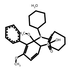 COC1=C(c2ccccc2)C(OC)(P(C2CCCCC2)C2CCCCC2)C(S(=O)(=O)O)C=C1.O